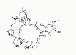 CC[C@H]1OC(=O)[C@H](C)[C@@H](O[C@H]2C[C@@](C)(OC)[C@@H](O)[C@H](C)O2)[C@H](C)[C@@H](O[C@@H]2O[C@H](C)C[C@H](N(C)CCc3cn(C(CN)CF)nn3)[C@H]2O)[C@](C)(O)C[C@@H](C)CN(C)[C@H](C)[C@@H](O)[C@]1(C)O